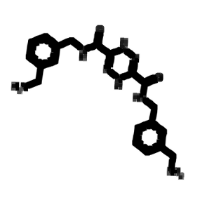 NCc1cccc(CNC(=O)C2=NNC(C(=O)NCc3cccc(CN)c3)=NN2)c1